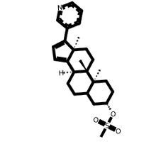 C[C@]12CC[C@@]3(C)[C@@H](CCC4C[C@@H](OS(C)(=O)=O)CC[C@@]43C)C1=CC=C2c1cccnc1